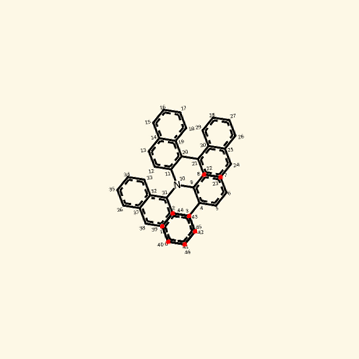 c1ccc(-c2ccccc2N(c2ccc3ccccc3c2-c2cccc3ccccc23)c2c3ccccc3cc3ccccc23)cc1